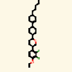 CCCCCC1CC=C(C2CCC(C3CCC(c4ccc(OCC)c(F)c4F)CO3)CC2)CC1